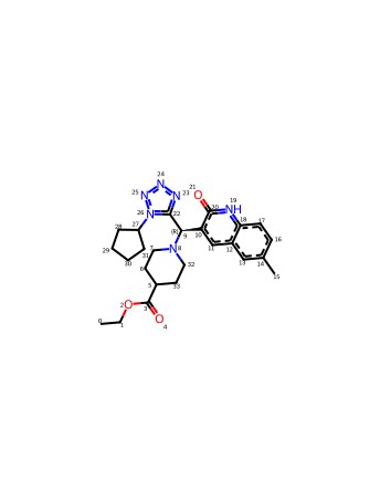 CCOC(=O)C1CCN([C@H](c2cc3cc(C)ccc3[nH]c2=O)c2nnnn2C2CCCC2)CC1